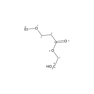 CCOCCC(=O)OCC(=O)O